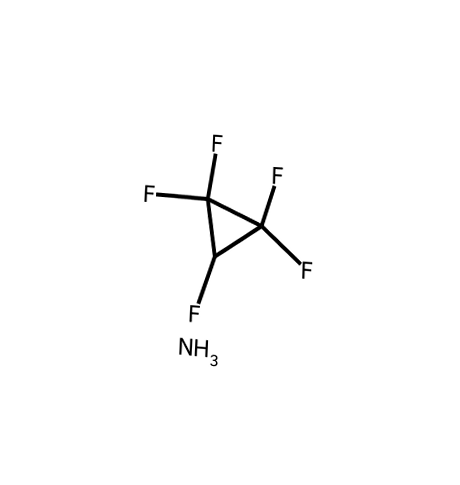 FC1C(F)(F)C1(F)F.N